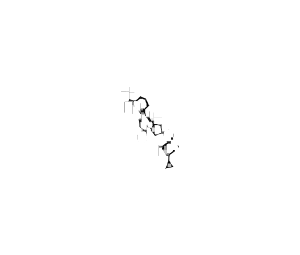 O=C1CCN(c2cccc(C(F)(F)F)n2)C[C@H]2C[C@H](Oc3cnc(C4CC4)cn3)CN12